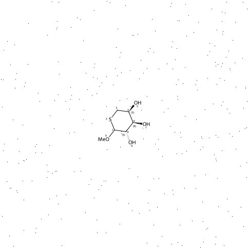 COC1SC[C@@H](O)[C@@H](O)[C@@H]1O